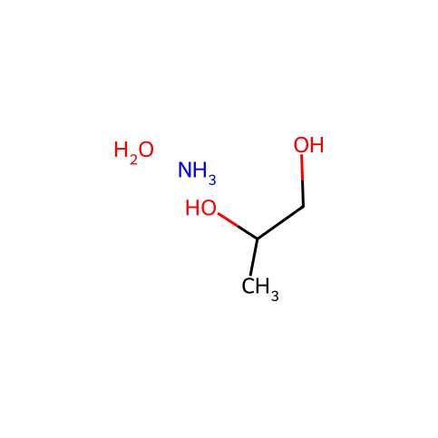 CC(O)CO.N.O